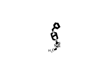 CCn1nnc(N2CC3CC(CN(Cc4ccccc4)C3)C2)n1